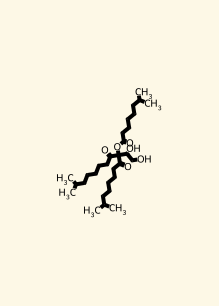 CC(C)CCCCCC(=O)OC(C(=O)CCCCCC(C)C)(C(=O)CCCCCC(C)C)C(O)CO